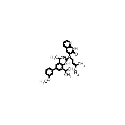 COc1cccc(-c2cc(C(C)C)c(NC(=O)N(CC=C(C)C)c3cc4cccnc4[nH]c3=O)c(C(C)C)c2)c1